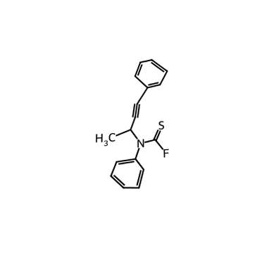 CC(C#Cc1ccccc1)N(C(F)=S)c1ccccc1